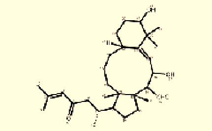 CC(C)=CC(=O)C[C@@H](C)C1CC[C@@]2(C)C(C=O)C(O)/C=C3\[C@H](CCCC12C)CCC(O)C3(C)C